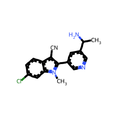 CC(N)c1cncc(-c2c(C#N)c3ccc(Cl)cc3n2C)c1